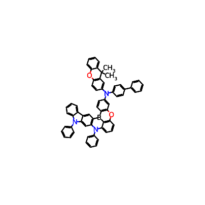 CC1(C)c2ccccc2Oc2ccc(N(c3ccc(-c4ccccc4)cc3)c3ccc4c(c3)Oc3cccc5c3B4c3cc4c6ccccc6n(-c6ccccc6)c4cc3N5c3ccccc3)cc21